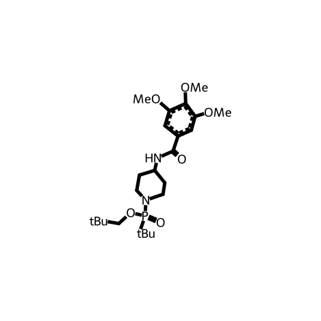 COc1cc(C(=O)NC2CCN(P(=O)(OCC(C)(C)C)C(C)(C)C)CC2)cc(OC)c1OC